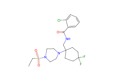 CCS(=O)(=O)N1CCN(C2(CNC(=O)c3ccccc3Cl)CCC(F)(F)CC2)CC1